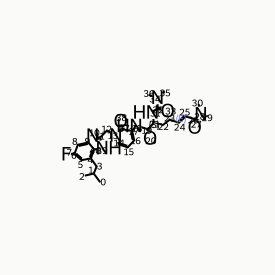 CC(C)Cc1cc(F)cc2nc(Cn3cccc(NC(=O)[C@H](CC/C=C/C(=O)N(C)C)NC(=O)N(C)C)c3=O)[nH]c12